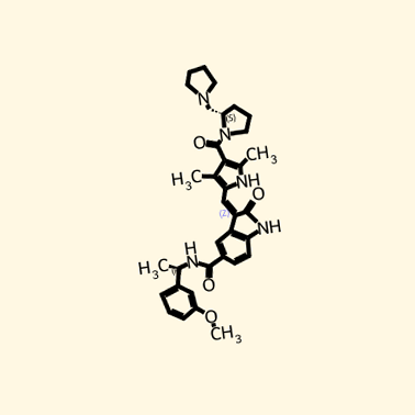 COc1cccc([C@@H](C)NC(=O)c2ccc3c(c2)/C(=C/c2[nH]c(C)c(C(=O)N4CCC[C@H]4CN4CCCC4)c2C)C(=O)N3)c1